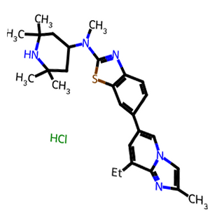 CCc1cc(-c2ccc3nc(N(C)C4CC(C)(C)NC(C)(C)C4)sc3c2)cn2cc(C)nc12.Cl